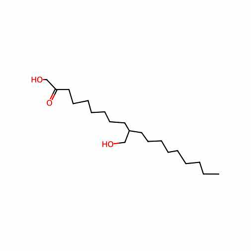 CCCCCCCCCC(CO)CCCCCCCC(=O)CO